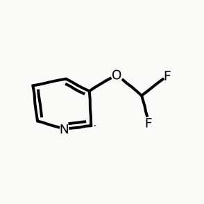 FC(F)Oc1[c]nccc1